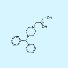 OC[C@@H](O)CN1CCN(C(c2ccccc2)c2ccccc2)CC1